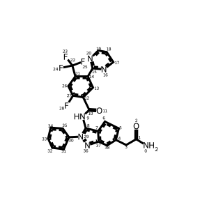 NC(=O)Cc1ccc2c(NC(=O)c3cc(-c4ncccn4)c(C(F)(F)F)cc3F)n(-c3ccccc3)nc2c1